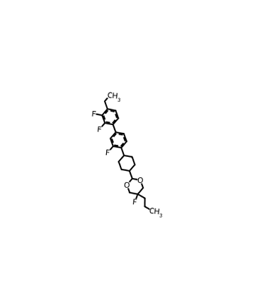 CCCC1(F)COC(C2CCC(c3ccc(-c4ccc(CC)c(F)c4F)cc3F)CC2)OC1